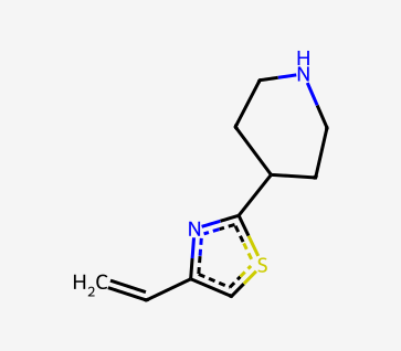 C=Cc1csc(C2CCNCC2)n1